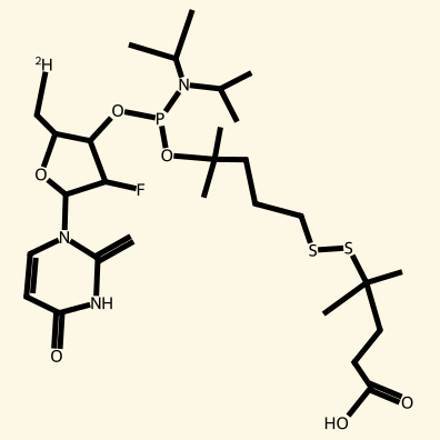 [2H]CC1OC(N2C=CC(=O)NC2=C)C(F)C1OP(OC(C)(C)CCCSSC(C)(C)CCC(=O)O)N(C(C)C)C(C)C